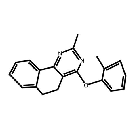 Cc1nc(Oc2ccccc2C)c2c(n1)-c1ccccc1CC2